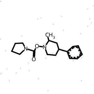 CC1CC(c2ccccc2)CCN1OC(=O)N1CCCC1